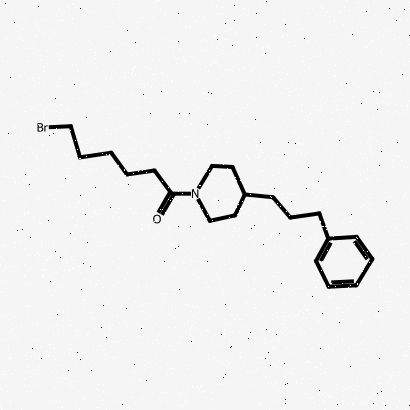 O=C(CCCCCBr)N1CCC(CCCc2ccccc2)CC1